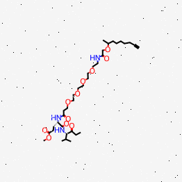 C#CCCCCCC(C)OCC(=O)NCCOCCOCCOCCOCCC(=O)N[C@@H](CCC(=O)OC)C(=O)N[C@H](C(=O)CC)C(C)C